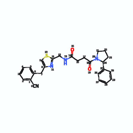 N#Cc1ccccc1Cc1csc(CNC(=O)CCC(=O)N2CCCC2c2ccccc2)n1